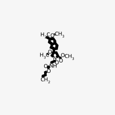 C=CCCOC(=O)NCC(=O)N1C[C@](OC)(c2ccc3cc(OC)c(C=C)cc3c2)C[C@H]1C(=O)OC